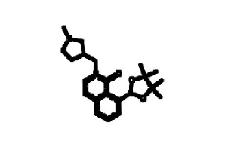 CN1CCC(Cn2ccc3cccc(B4OC(C)(C)C(C)(C)O4)c3c2=O)C1